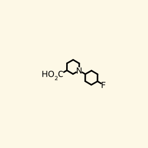 O=C(O)C1CCCN(C2CCC(F)CC2)C1